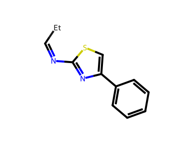 CC/C=N\c1nc(-c2ccccc2)cs1